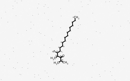 CCCCCCCCCCCCCCC(F)C(C)C(=O)C(C)C